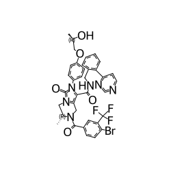 C[C@@H]1Cn2c(c(C(=O)NCc3ccccc3-c3ccncn3)n(-c3ccc(OC[C@@H](C)O)cc3)c2=O)CN1C(=O)c1ccc(Br)c(C(F)(F)F)c1